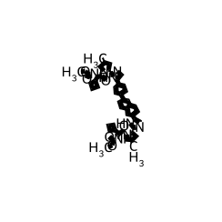 COC(=O)N[C@H](C(=O)N1C[C@@H](C)C[C@H]1c1ncc(-c2ccc(-c3ccc4cc(-c5cnc([C@@H]6C[C@H](C)CN6C(=O)[C@@H](NC(=O)OC)C6CCC6)[nH]5)ccc4c3)cc2)[nH]1)C1CCC1